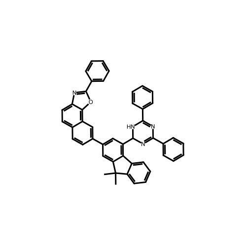 CC1(C)c2ccccc2-c2c(C3N=C(c4ccccc4)N=C(c4ccccc4)N3)cc(-c3ccc4ccc5nc(-c6ccccc6)oc5c4c3)cc21